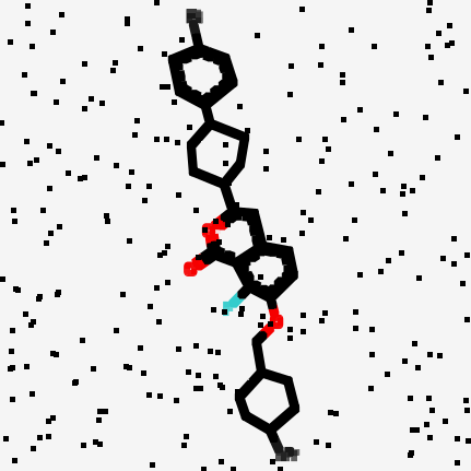 CCCC1CCC(COc2ccc3cc(C4CCC(c5ccc(CC)cc5)CC4)oc(=O)c3c2F)CC1